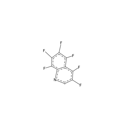 Fc1[c]nc2c(F)c(F)c(F)c(F)c2c1F